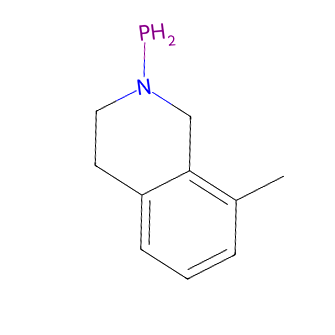 Cc1cccc2c1CN(P)CC2